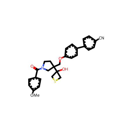 COc1ccc(C(=O)N2CCC(COc3ccc(-c4ccc(C#N)cc4)cc3)(C3(O)CSC3)C2)cc1